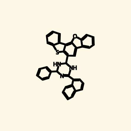 c1ccc(C2N=C(c3cccc4ccccc34)NC(c3cc4c5ccccc5oc4c4c3sc3ccccc34)N2)cc1